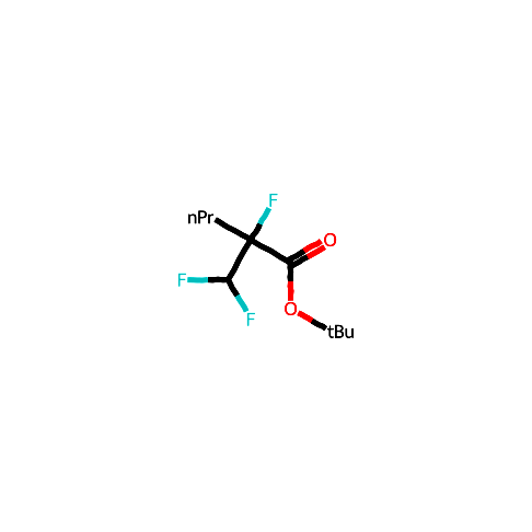 CCCC(F)(C(=O)OC(C)(C)C)C(F)F